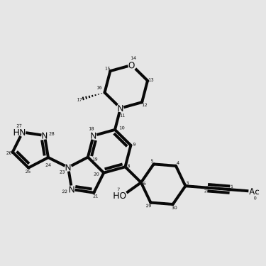 CC(=O)C#CC1CCC(O)(c2cc(N3CCOC[C@H]3C)nc3c2cnn3-c2cc[nH]n2)CC1